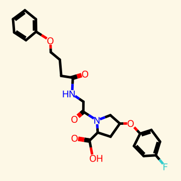 O=C(CCCOc1ccccc1)NCC(=O)N1CC(Oc2ccc(F)cc2)CC1C(=O)O